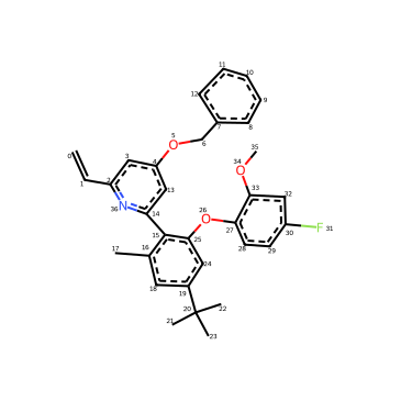 C=Cc1cc(OCc2ccccc2)cc(-c2c(C)cc(C(C)(C)C)cc2Oc2ccc(F)cc2OC)n1